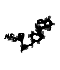 COC(=O)[C@H]1C[C@@H]1CN1CCC(c2noc3ccsc23)CC1